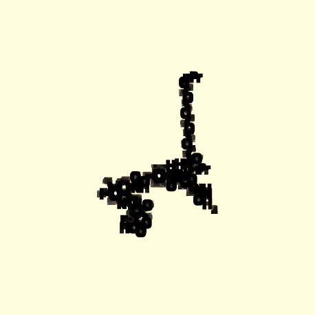 CCCOCCOCCOCCOCCOCCC(=O)N[C@H](C(=O)N[C@@H](CCCNC(N)=O)C(=O)Nc1ccc(COC(=O)N[C@H]2CCc3c(C)c(F)cc4nc5c(c2c34)Cn2c-5cc3c(c2=O)COC(=O)[C@]3(O)CC)cc1)C(C)C